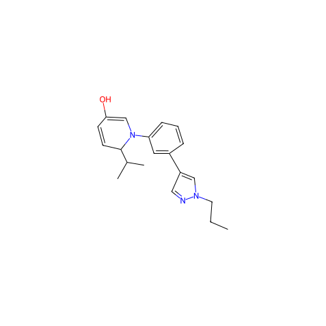 CCCn1cc(-c2cccc(N3C=C(O)C=CC3C(C)C)c2)cn1